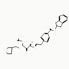 COC(=O)N[C@@H](CCC1CCNC1)C(=O)c1noc(Cc2ccc(C(=O)NC3Cc4ccccc4C3)cc2)n1